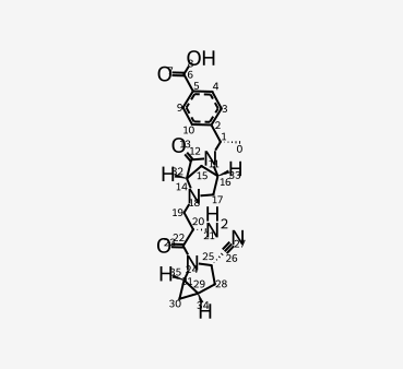 C[C@@H](c1ccc(C(=O)O)cc1)N1C(=O)[C@@H]2C[C@H]1CN2C[C@H](N)C(=O)N1[C@H](C#N)C[C@@H]2C[C@@H]21